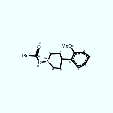 COc1ccccc1C1CCN(OC(=O)C(C)(C)C)CC1